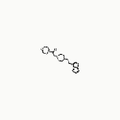 O=C(CN1CCN(CCn2ccc3ccsc32)CC1)N1CCOCC1